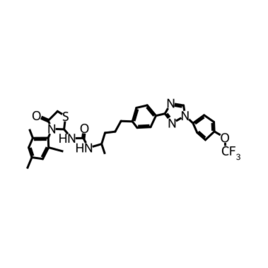 Cc1cc(C)c(N2C(=O)CSC2NC(=O)NC(C)CCCc2ccc(-c3ncn(-c4ccc(OC(F)(F)F)cc4)n3)cc2)c(C)c1